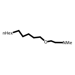 CCCCCCCCCCCOCCNC